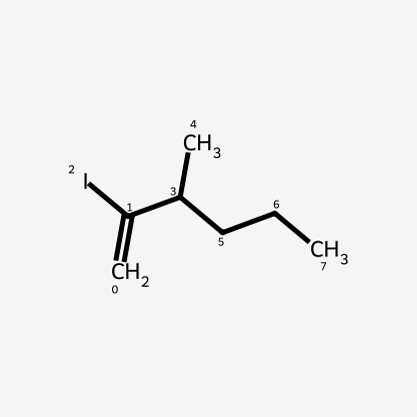 C=C(I)C(C)CCC